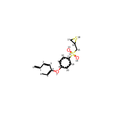 C=C/C=C\C(=C/C)Oc1ccc(S(=O)(=O)CC2CS2)cc1